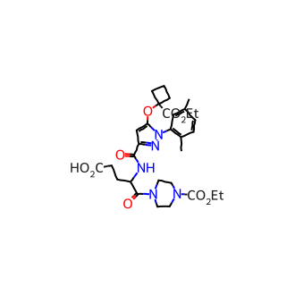 CCOC(=O)N1CCN(C(=O)C(CCC(=O)O)NC(=O)c2cc(OC3(C(=O)OCC)CCC3)n(-c3cc(C)ccc3C)n2)CC1